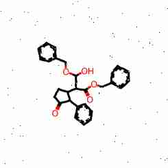 O=C1CCC(C(C(=O)OCc2ccccc2)C(O)OCc2ccccc2)C1c1ccccc1